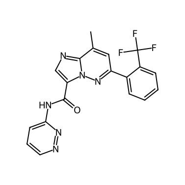 Cc1cc(-c2ccccc2C(F)(F)F)nn2c(C(=O)Nc3cccnn3)cnc12